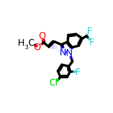 COC(=O)/C=C/c1nn(Cc2ccc(Cl)cc2F)c2cc(C(F)F)ccc12